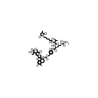 CC[C@@]1(O)C(=O)OCc2c1cc1n(c2=O)Cc2c-1nc1cc(F)c(C)c3c1c2[C@@H](NC(=O)OCc1ccc(NC(=O)[C@H](CCCNC(N)=O)NC(=O)[C@@H](NC(=O)CCCCCN2C(=O)CC(C)C2=O)C(C)C)cc1)CC3